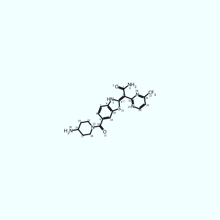 NC(=O)/C(=C1\Nc2ccc(C(=O)N3CCC(N)CC3)cc2S1)c1nccc(C(F)(F)F)n1